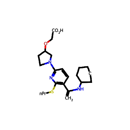 C=C(NC1CCCCC1)c1ccc(N2CCC(OCC(=O)O)C2)nc1SCCC